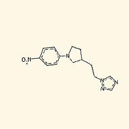 O=[N+]([O-])c1ccc(N2CCC(CCn3cncn3)C2)cc1